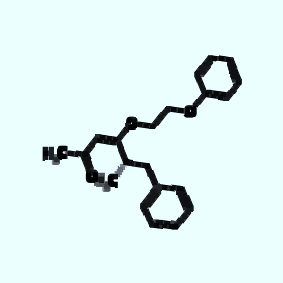 CC(=O)/C=C(/OCCOc1ccccc1)[C@@H](C)Cc1ccccc1